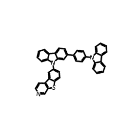 c1ccc2c(c1)c1ccccc1n2-c1ccc(-c2ccc3c4ccccc4n(-c4ccc5sc6cnccc6c5c4)c3c2)cc1